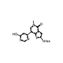 CCCCCCc1cc2c(=O)n(C)cc(-c3cc(O)ncn3)c2s1